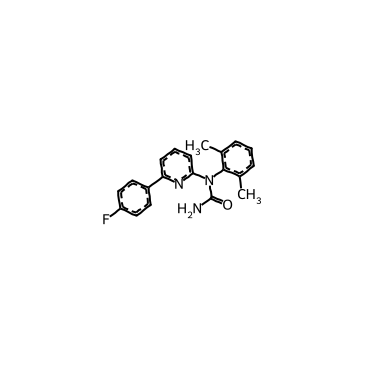 Cc1cccc(C)c1N(C(N)=O)c1cccc(-c2ccc(F)cc2)n1